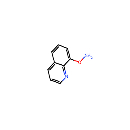 NOc1cccc2cccnc12